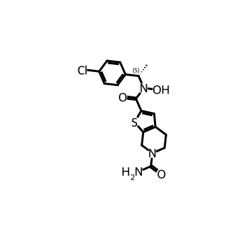 C[C@@H](c1ccc(Cl)cc1)N(O)C(=O)c1cc2c(s1)CN(C(N)=O)CC2